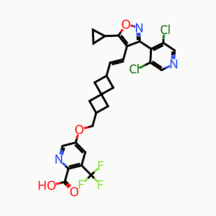 O=C(O)c1ncc(OCC2CC3(CC(C=Cc4c(-c5c(Cl)cncc5Cl)noc4C4CC4)C3)C2)cc1C(F)(F)F